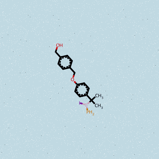 CC(C)(B(P)I)c1ccc(OCc2ccc(CO)cc2)cc1